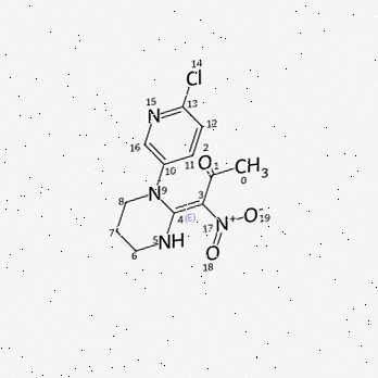 CC(=O)/C(=C1/NCCCN1c1ccc(Cl)nc1)[N+](=O)[O-]